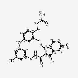 Cc1cc(Oc2cc(Cl)cc(CNC(=O)c3c(C)c4cc(Cl)ccc4n3C)c2)ccc1CCC(=O)O